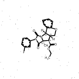 CCOC(=O)[C@@H]1[C@H]2COc3ccccc3[C@H]2N2C(=O)N(c3cccc(F)c3)C(=O)[C@]12C